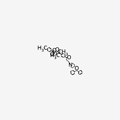 Cc1ccc(S(=O)(=O)OC(=O)C(C)(C)c2ccc(C(=O)CCCN3CCC(OC(c4ccccc4)c4ccccc4)CC3)cc2)cc1